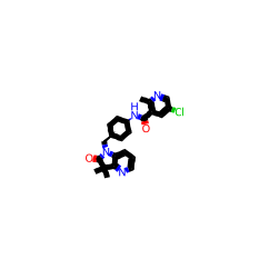 Cc1ncc(Cl)cc1C(=O)N[C@H]1CC[C@H](CN2C(=O)C(C)(C)c3ncccc32)CC1